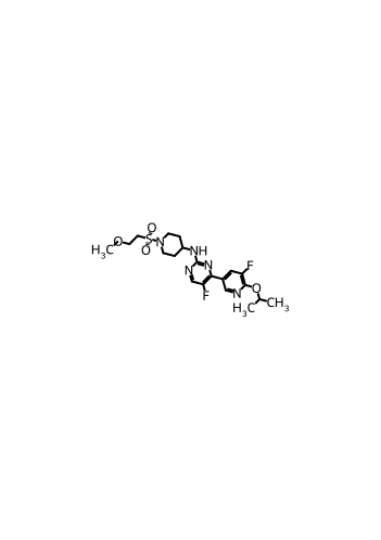 COCCS(=O)(=O)N1CCC(Nc2ncc(F)c(-c3cnc(OC(C)C)c(F)c3)n2)CC1